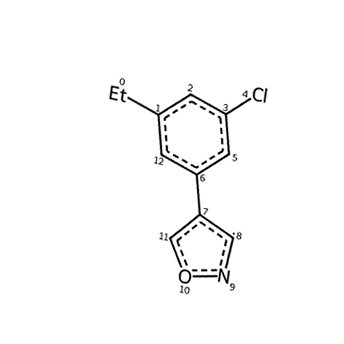 CCc1cc(Cl)cc(-c2[c]noc2)c1